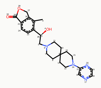 Cc1c([C@@H](O)CN2CCC3(CC2)CCN(c2cnccn2)CC3)ccc2c1COC2=O